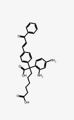 Nc1ccc(C(CCCCCC(=O)O)(C(=O)O)c2ccc(C=CC(=O)c3ccccc3)cc2)c(N)c1